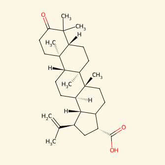 C=C(C)[C@@H]1C[C@@H](C(=O)O)C2CC[C@]3(C)[C@H](CC[C@@H]4[C@@]5(C)CCC(=O)C(C)(C)[C@@H]5CC[C@]43C)[C@H]21